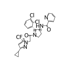 O=C(N[C@@H]1CCN(C(=O)Cn2nc(C3CC3)cc2C(F)(F)F)[C@@H]1c1cccc(Cl)c1Cl)c1ccccn1